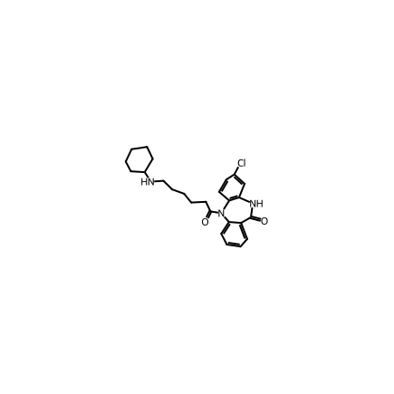 O=C1Nc2cc(Cl)ccc2N(C(=O)CCCCCNC2CCCCC2)c2ccccc21